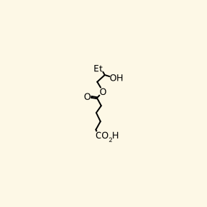 CCC(O)COC(=O)CCCCC(=O)O